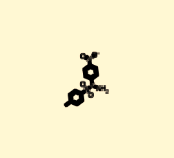 Cc1ccc(S(=O)(=O)N(N)c2ccc([N+](=O)[O-])cc2)cc1